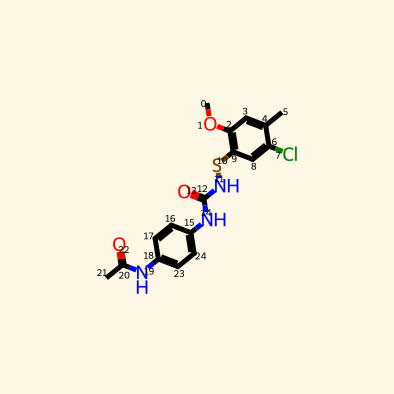 COc1cc(C)c(Cl)cc1SNC(=O)Nc1ccc(NC(C)=O)cc1